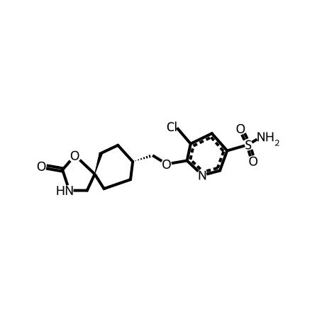 NS(=O)(=O)c1cnc(OC[C@H]2CC[C@@]3(CC2)CNC(=O)O3)c(Cl)c1